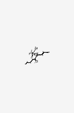 CCCCC(Cl)CCCC.O=P(O)(O)O